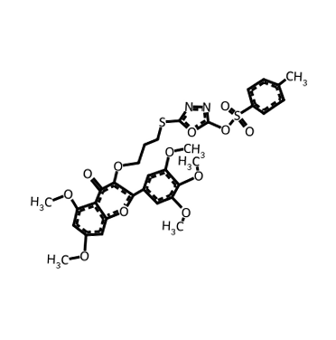 COc1cc(OC)c2c(=O)c(OCCCSc3nnc(OS(=O)(=O)c4ccc(C)cc4)o3)c(-c3cc(OC)c(OC)c(OC)c3)oc2c1